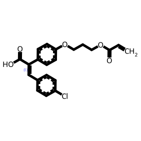 C=CC(=O)OCCCOc1ccc(/C(=C\c2ccc(Cl)cc2)C(=O)O)cc1